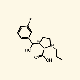 CCC[C@H]1CC[C@H](C(O)c2cccc(F)c2)N1C(=O)O